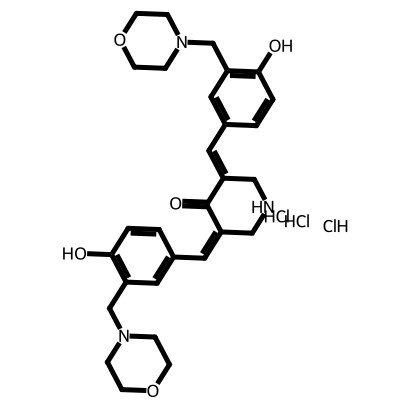 Cl.Cl.Cl.O=C1C(=Cc2ccc(O)c(CN3CCOCC3)c2)CNCC1=Cc1ccc(O)c(CN2CCOCC2)c1